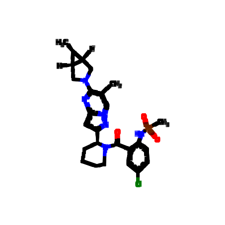 Cc1cn2nc([C@@H]3CCCCN3C(=O)c3cc(Cl)ccc3NS(C)(=O)=O)cc2nc1N1C[C@@H]2[C@@H](C)[C@@H]2C1